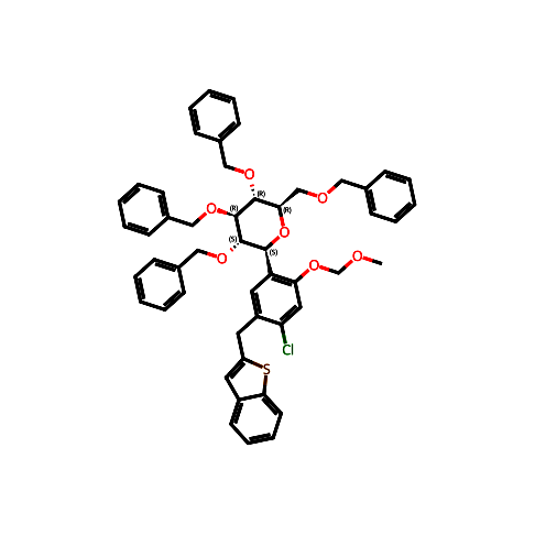 COCOc1cc(Cl)c(Cc2cc3ccccc3s2)cc1[C@@H]1O[C@H](COCc2ccccc2)[C@@H](OCc2ccccc2)[C@H](OCc2ccccc2)[C@H]1OCc1ccccc1